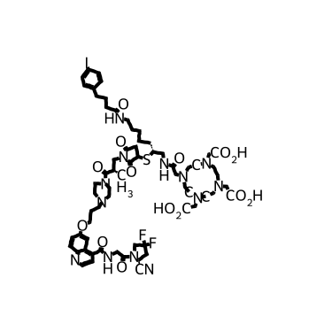 C[C@H](CN1C(=O)CC(S[C@H](CCCCCNC(=O)CCCc2ccc(I)cc2)CNC(=O)CN2CCN(CC(=O)O)CCN(CC(=O)O)CCN(CC(=O)O)CC2)C1=O)C(=O)N1CCN(CCCOc2ccc3nccc(C(=O)NCC(=O)N4CC(F)(F)C[C@@H]4C#N)c3c2)CC1